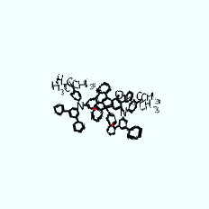 CC(C)(C)c1ccc(N(c2cc(-c3ccccc3)cc(C3C=CC=CC3)c2)c2ccc3c4c(c5ccccc5c3c2)-c2c(cc(N(c3ccc(C(C)(C)C)cc3)c3cc(-c5ccccc5)cc(-c5ccccc5)c3)c3c2OC2C=CC=CC32)C4(c2ccccc2)c2ccccc2)cc1